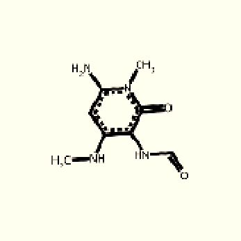 CNc1cc(N)n(C)c(=O)c1NC=O